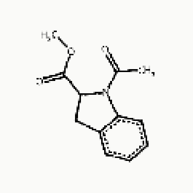 COC(=O)C1Cc2ccccc2N1C(C)=O